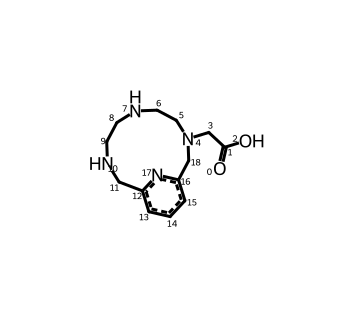 O=C(O)CN1CCNCCNCc2cccc(n2)C1